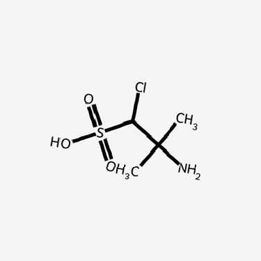 CC(C)(N)C(Cl)S(=O)(=O)O